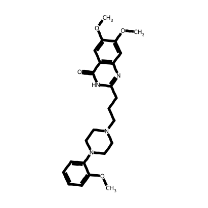 COc1cc2nc(CCCN3CCN(c4ccccc4OC)CC3)[nH]c(=O)c2cc1OC